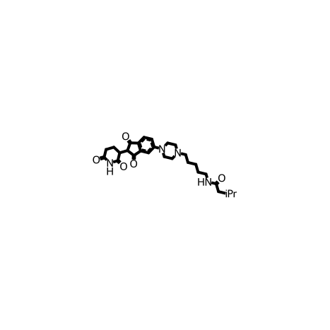 CC(C)CC(=O)NCCCCCN1CCN(c2ccc3c(c2)C(=O)C(C2CCC(=O)NC2=O)C3=O)CC1